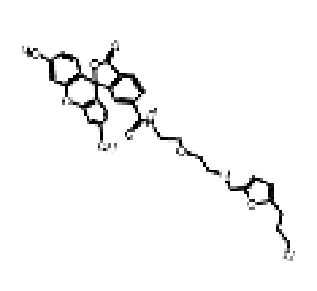 O=C(NCCOCCOCc1ccc(CCCCl)o1)c1ccc2c(c1)C1(OC2=O)c2ccc(O)cc2Oc2cc(O)ccc21